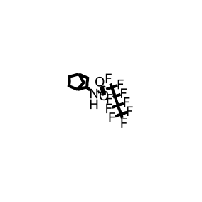 O=S(=O)(NC1CC2CCC1C2)C(F)(F)C(F)(F)C(F)(F)C(F)(F)F